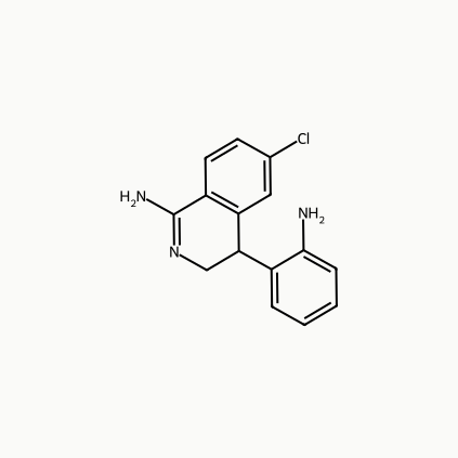 NC1=NCC(c2ccccc2N)c2cc(Cl)ccc21